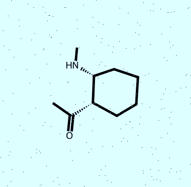 CN[C@@H]1CCCC[C@@H]1C(C)=O